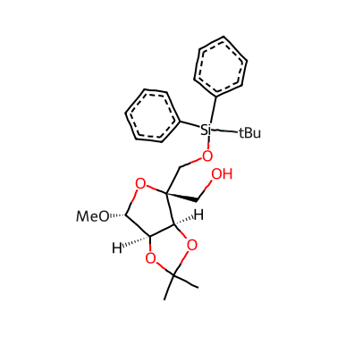 CO[C@@H]1O[C@](CO)(CO[Si](c2ccccc2)(c2ccccc2)C(C)(C)C)[C@H]2OC(C)(C)O[C@@H]12